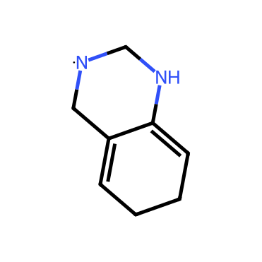 C1=C2C[N]CNC2=CCC1